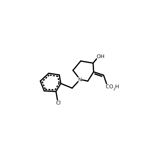 O=C(O)C=C1CN(Cc2ccccc2Cl)CCC1O